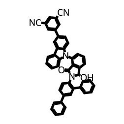 N#Cc1cc(C#N)cc(-c2ccc3c(c2)c2ccccc2n3-c2cccc3c2C(=O)N(c2ccc(-c4ccccc4)cc2-c2ccccc2)C3O)c1